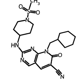 CS(=O)(=O)N1CCC(Nc2ncc3cc(C#N)c(=O)n(CC4CCCCC4)c3n2)CC1